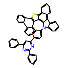 c1ccc(-c2cc(-c3ccc(-n4c5ccccc5c5c6ccccc6c6sc7c8ccccc8c8ccccc8c7c6c54)cc3)nc(-c3ccccc3)n2)cc1